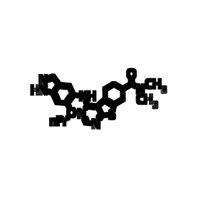 CCCOc1cc2[nH]ncc2cc1Nc1ncnc2sc3c(c12)CCC(C(=O)N(C)C)C3